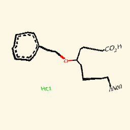 CCCCCCCCCCCC(CC(=O)O)OCc1ccccc1.Cl